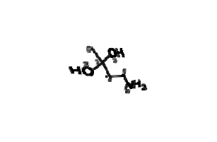 CC(O)(O)[CH]CN